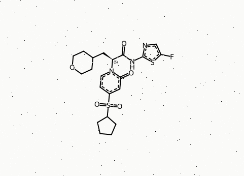 O=C(Nc1ncc(F)s1)[C@H](CC1CCOCC1)n1ccc(S(=O)(=O)C2CCCC2)cc1=O